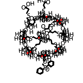 O=C(O)CCSC[C@H]1O[C@@H]2O[C@H]3[C@H](O)[C@@H](O)[C@@H](O[C@H]4[C@@H](O)[C@@H](O)[C@@H](O[C@H]5[C@H](O)[C@@H](O)[C@@H](O[C@H]6[C@H](O)C[C@@](O)(O[C@H]7[C@@H](O)[C@@H](O)[C@@H](O[C@H]8[C@@H](O)[C@@H](O)[C@@H](O[C@H]9[C@H](O)[C@@H](O)[C@@H](O[C@H]1[C@H](O)[C@H]2O)O[C@@H]9CSCCC(=O)O)O[C@@H]8CSCCC(=O)O)O[C@@H]7CSCCC(=O)O)O[C@@H]6CSCCC(=O)O)O[C@@H]5CSCCC(=O)O)O[C@@H]4CSCCC(=O)O)O[C@@H]3COCP(=O)(c1ccccc1)c1ccccc1